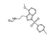 COc1cccc2c1c(CCNC=O)cn2S(=O)(=O)c1ccc(C)cc1